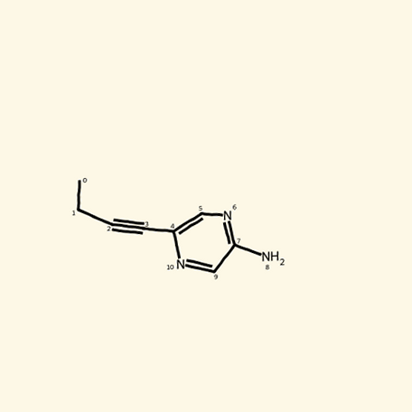 CCC#Cc1cnc(N)cn1